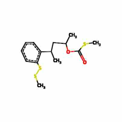 CSSc1ccccc1C(C)CC(C)OC(=O)SC